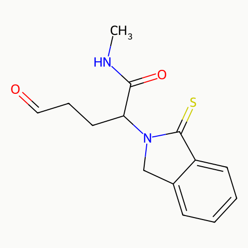 CNC(=O)C(CCC=O)N1Cc2ccccc2C1=S